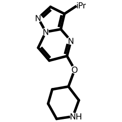 CC(C)c1cnn2ccc(OC3CCCNC3)nc12